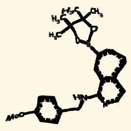 COc1ccc(CNc2nccc3ccc(B4OC(C)(C)C(C)(C)O4)cc23)cc1